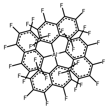 Fc1c(F)c(F)c2[c]([Al-]([c]3c(F)c(F)c(F)c4c(F)c(F)c(F)c(F)c34)([c]3c(F)c(F)c(F)c4c(F)c(F)c(F)c(F)c34)[c]3c(F)c(F)c(F)c4c(F)c(F)c(F)c(F)c34)c(F)c(F)c(F)c2c1F